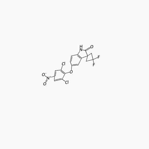 O=C1Nc2ccc(Oc3c(Cl)cc([N+](=O)[O-])cc3Cl)cc2C12CC(F)(F)C2